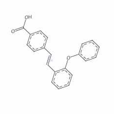 O=C(O)c1ccc(/C=C/c2ccccc2Oc2ccccc2)cc1